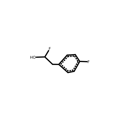 OC(F)Cc1ccc(F)cc1